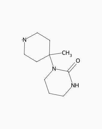 CC1(N2CCCNC2=O)CC[N]CC1